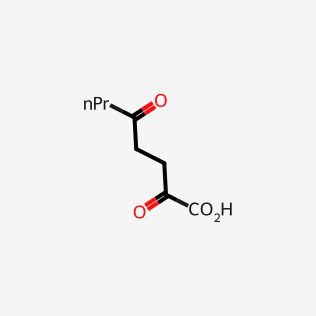 CCCC(=O)CCC(=O)C(=O)O